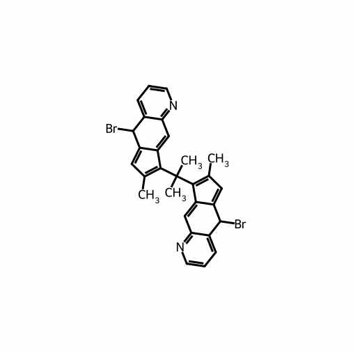 CC1=C(C(C)(C)C2=C(C)C=C3C2=Cc2ncccc2C3Br)C2=Cc3ncccc3C(Br)C2=C1